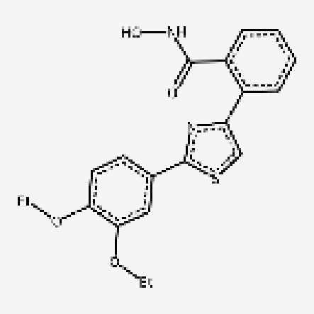 CCOc1ccc(-c2nc(-c3ccccc3C(=O)NO)cs2)cc1OCC